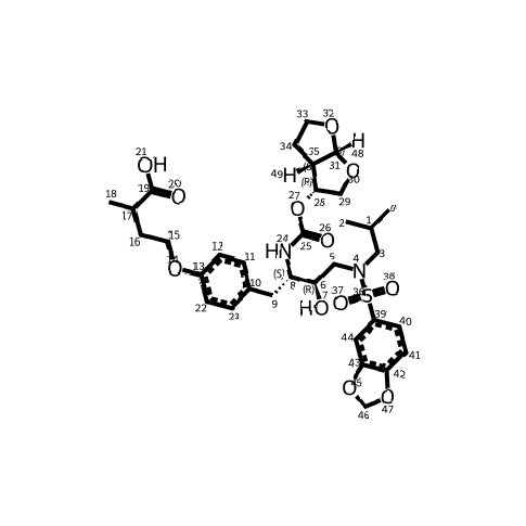 CC(C)CN(C[C@@H](O)[C@H](Cc1ccc(OCCC(C)C(=O)O)cc1)NC(=O)O[C@H]1CO[C@H]2OCC[C@H]21)S(=O)(=O)c1ccc2c(c1)OCO2